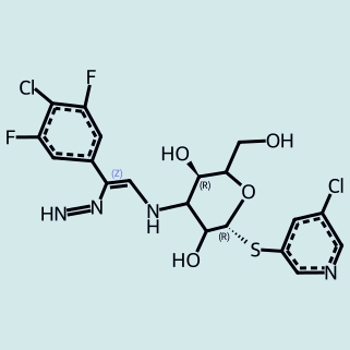 N=N/C(=C\NC1C(O)[C@@H](Sc2cncc(Cl)c2)OC(CO)[C@@H]1O)c1cc(F)c(Cl)c(F)c1